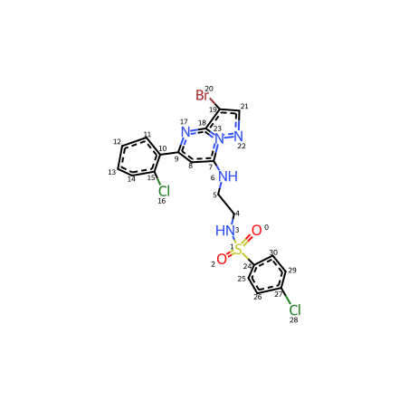 O=S(=O)(NCCNc1cc(-c2ccccc2Cl)nc2c(Br)cnn12)c1ccc(Cl)cc1